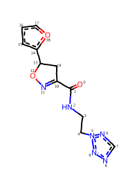 O=C(NCCn1ncnn1)C1=NOC(c2ccco2)C1